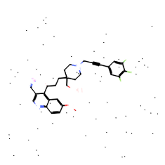 COc1ccc2ncc(CN)c([C@@H](O)CCC3(CO)CCN(CC#Cc4cc(F)c(F)c(F)c4)CC3)c2c1